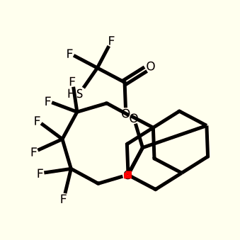 O=C(OC12CC3CC(C1)C1(OCC(F)(F)C(F)(F)C(F)(F)CO1)C(C3)C2)C(F)(F)S